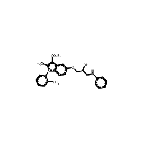 CCOC(=O)c1c(C)n(-c2ccccc2C)c2ccc(OCC(O)CNc3ccccc3)cc12